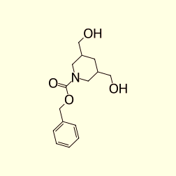 O=C(OCc1ccccc1)N1CC(CO)CC(CO)C1